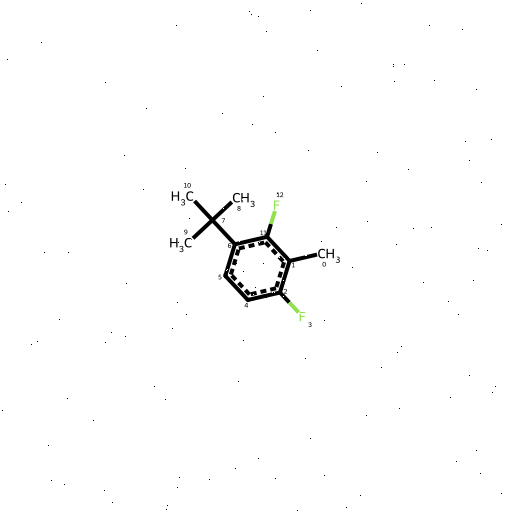 Cc1c(F)ccc(C(C)(C)C)c1F